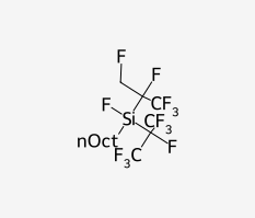 CCCCCCCC[Si](F)(C(F)(CF)C(F)(F)F)C(F)(C(F)(F)F)C(F)(F)F